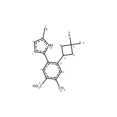 CCc1cnc(-c2cc(C(=O)O)c(C)cc2C2CC(F)(F)C2)[nH]1